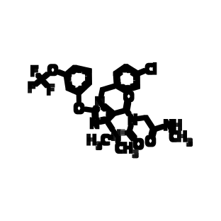 CNC(=O)CN1C(=O)c2c(nc(Oc3cccc(OC(F)(F)F)c3)n2Cc2ccc(Cl)cc2)[N+](C)(C)C1=O